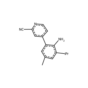 Cc1cc(-c2ccnc(C#N)c2)c(N)c(C(C)C)c1